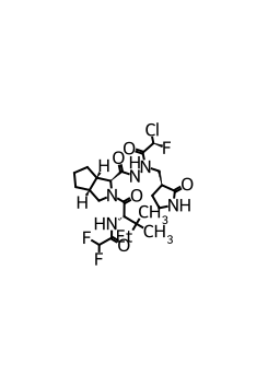 CCC(C)(C)[C@H](NC(=O)C(F)F)C(=O)N1C[C@@H]2CCC[C@@H]2[C@H]1C(=O)NN(C[C@@H]1CCNC1=O)C(=O)[C@H](F)Cl